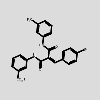 CC(C)c1ccc(C=C(C(=O)Nc2cccc(C(=O)O)c2)C(=O)Nc2cccc(C(F)(F)F)c2)cc1